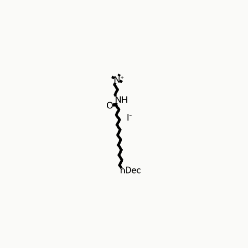 CCCCCCCCCCCCCCCCCCCCCCC(=O)NCCC[N+](C)(C)C.[I-]